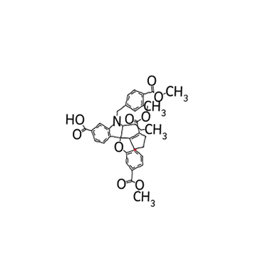 CCCC1N(Cc2ccc(C(=O)OC)cc2)c2cc(C(=O)O)ccc2C1(Oc1cccc(C(=O)OC)c1)C1=C(C(=O)OC)CCC1